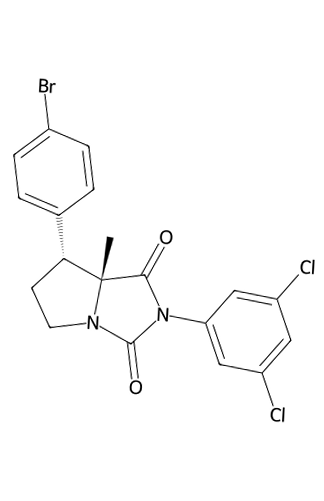 C[C@@]12C(=O)N(c3cc(Cl)cc(Cl)c3)C(=O)N1CC[C@@H]2c1ccc(Br)cc1